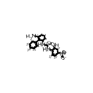 Nc1cccc(NC(=O)Nc2ccc([N+](=O)[O-])cc2O)c1-c1ccccc1